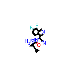 N#CC(NC(=O)C1(N)CC1C1CC1)c1cncc2c(F)c(F)ccc12